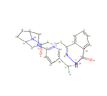 O=C(CCCc1n[nH]c(=O)c2ccccc12)N1C2CCC1CN(c1ccc(C(F)F)cn1)C2